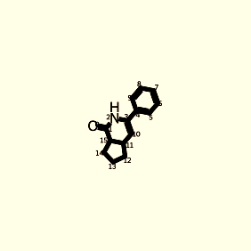 O=C1NC(c2ccccc2)=CC2CCCC12